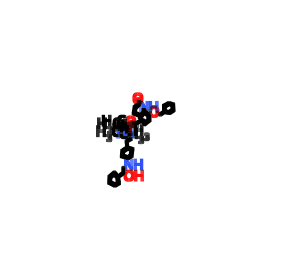 CC(C)(C)[Si](C)(C)O[C@@H](CNCCc1ccc(NCC(O)c2ccccc2)cc1)c1ccc(OCc2ccccc2)c2[nH]c(=O)ccc12